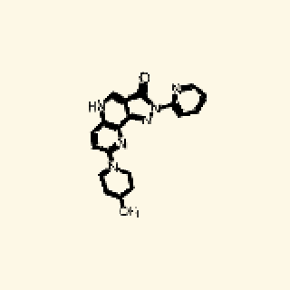 O=c1c2c[nH]c3ccc(N4CCC(O)CC4)nc3c-2nn1-c1ccccn1